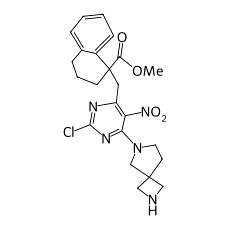 COC(=O)C1(Cc2nc(Cl)nc(N3CCC4(CNC4)C3)c2[N+](=O)[O-])CCCc2ccccc21